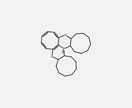 O=P12C3=C(\C=C/C=C\C=C3\OC3CCCCCCCC31)OC1CCCCCCCC12